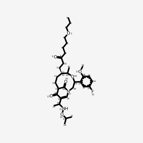 CCCOCCCCC(=O)CC[C@@H]1CCC2C(=O)C(C(C)NOC(C)C)=CN(CC(c3cc(F)ccc3OC)OC1C)C2=O